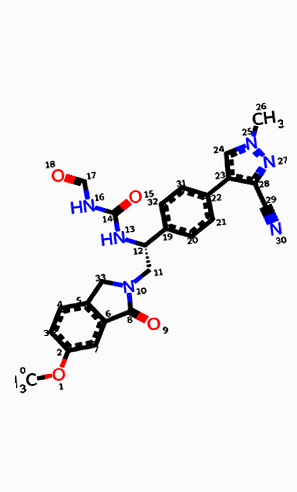 COc1ccc2c(c1)C(=O)N(C[C@H](NC(=O)NC=O)c1ccc(-c3cn(C)nc3C#N)cc1)C2